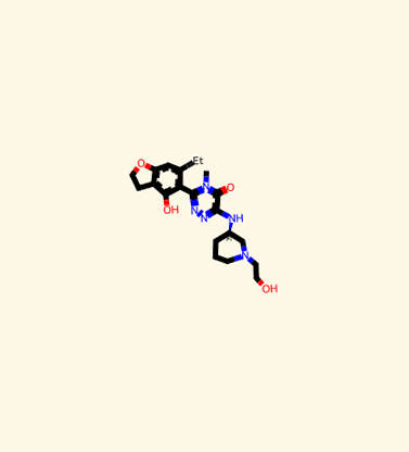 CCc1cc2c(c(O)c1-c1nnc(N[C@@H]3CCCN(CCO)C3)c(=O)n1C)CCO2